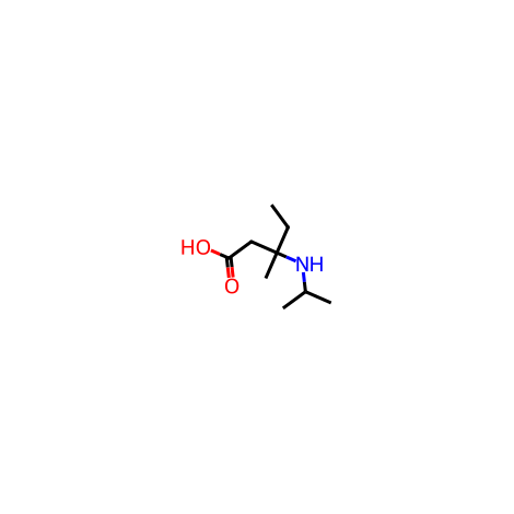 CCC(C)(CC(=O)O)NC(C)C